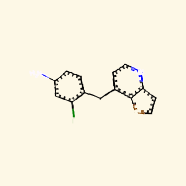 Nc1ccc(Cc2ccnc3c[c]sc23)c(F)c1